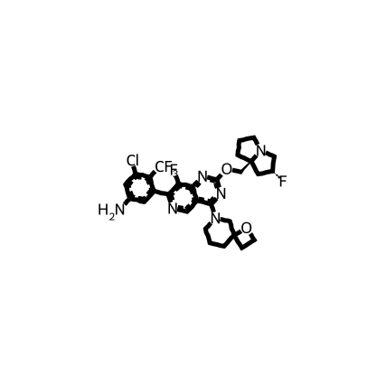 Nc1cc(Cl)c(C(F)(F)F)c(-c2ncc3c(N4CCCC5(CCO5)C4)nc(OC[C@@]45CCCN4C[C@H](F)C5)nc3c2F)c1